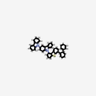 c1ccc(-c2ccccc2-c2cccc3c2sc2cccc(-n4c5ccccc5c5cc(-n6c7ccccc7c7ccccc76)ccc54)c23)cc1